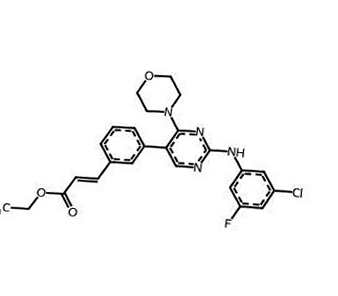 CCOC(=O)/C=C/c1cccc(-c2cnc(Nc3cc(F)cc(Cl)c3)nc2N2CCOCC2)c1